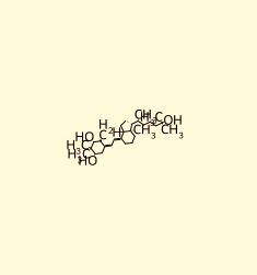 C=C1/C(=C\C=C2/CCC[C@]3(C)[C@@H]([C@H](C)CCCC(C)(C)O)CC[C@@H]23)C[C@H](O)C(C)(C)[C@@H]1O